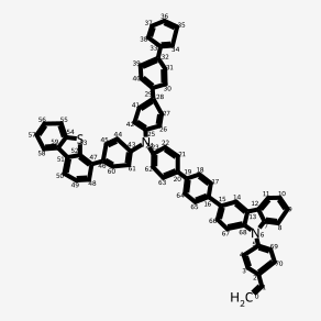 C=Cc1ccc(-n2c3ccccc3c3cc(-c4ccc(-c5ccc(N(c6ccc(-c7ccc(-c8ccccc8)cc7)cc6)c6ccc(-c7cccc8c7sc7ccccc78)cc6)cc5)cc4)ccc32)cc1